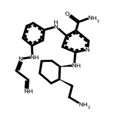 N=C/C=N\Nc1cccc(Nc2cc(N[C@@H]3CCCC[C@@H]3CCN)ncc2C(N)=O)c1